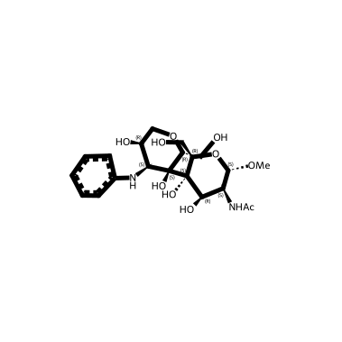 CO[C@H]1O[C@H](CO)[C@](O)([C@@]2(O)[C@@H](CO)OC[C@H](O)[C@@H]2Nc2ccccc2)[C@H](O)[C@@H]1NC(C)=O